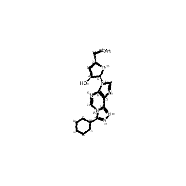 OC[C@@H]1C[C@H](O)[C@H](n2cnc3c2ncn2c(C4CCCCC4)nnc32)O1